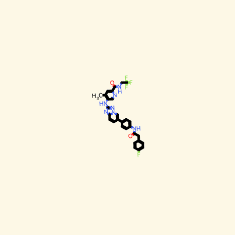 Cc1cc(C(=O)NCC(F)(F)F)ncc1Nc1nc2ccc(-c3ccc(NC(=O)Cc4ccc(F)cc4)cc3)cn2n1